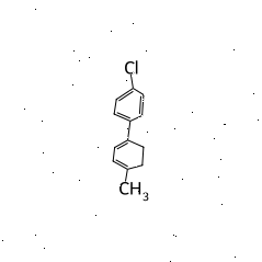 CC1=CC=C(c2ccc(Cl)cc2)CC1